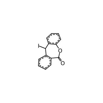 O=C1Oc2ccccc2C(I)c2ccccc21